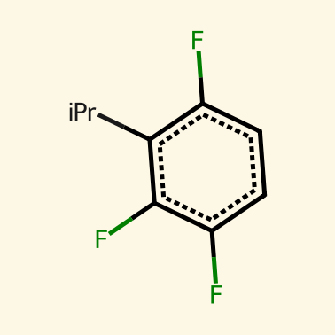 CC(C)c1c(F)ccc(F)c1F